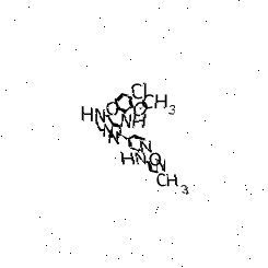 COc1c(Cl)cccc1Nc1c(-c2ccnc(Nc3cc(C)no3)c2)nn2c1C(=O)NCC2